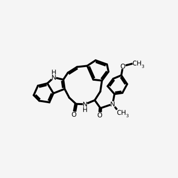 COc1ccc(N(C)C(=O)C2Cc3cccc(c3)/C=C\c3[nH]c4ccccc4c3CC(=O)N2)cc1